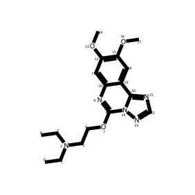 CCN(CC)CCOc1nc2cc(OC)c(OC)cc2c2ncnn12